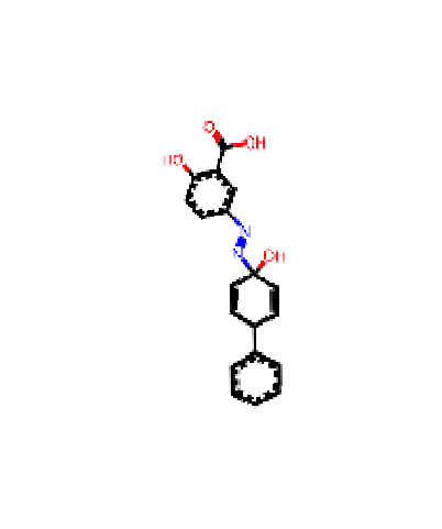 O=C(O)c1cc(/N=N/C2(O)C=CC(c3ccccc3)C=C2)ccc1O